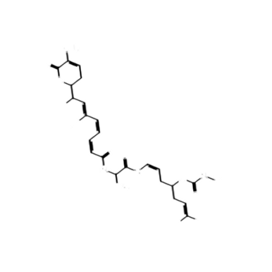 CC1=CCC(C(C)/C=C(C)/C=C\C=C/C(=O)NC(C(=O)N/C=C\CC(C/C=C(\C)Cl)OC(=O)NC(C)C)C(C)(C)C)OC1=O